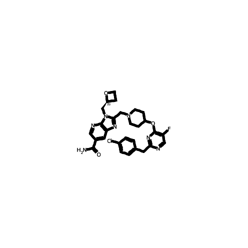 NC(=O)c1cnc2c(c1)nc(CN1CCC(Oc3nc(Cc4ccc(Cl)cc4)ncc3F)CC1)n2C[C@@H]1CCO1